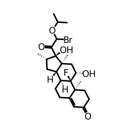 CC(C)OC(Br)C(=O)[C@@]1(O)[C@@H](C)C[C@H]2[C@@H]3CCC4=CC(=O)CC[C@]4(C)[C@@]3(F)[C@@H](O)C[C@@]21C